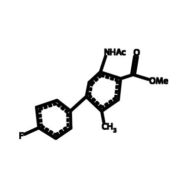 COC(=O)c1cc(C)c(-c2ccc(F)cc2)cc1NC(C)=O